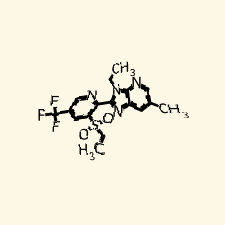 CCn1c(-c2ncc(C(F)(F)F)cc2S(=O)(=O)CC)nc2cc(C)cnc21